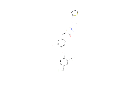 COc1cc(C=C2SC(N(C)Cc3cccs3)=NC2=O)ccc1OCc1ccc(C(F)(F)F)cc1C(F)(F)F